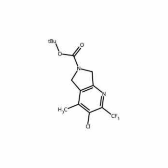 Cc1c(Cl)c(C(F)(F)F)nc2c1CN(C(=O)OC(C)(C)C)C2